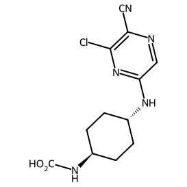 N#Cc1ncc(N[C@H]2CC[C@H](NC(=O)O)CC2)nc1Cl